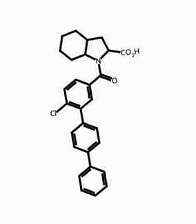 O=C(O)C1CC2CCCCC2N1C(=O)c1ccc(Cl)c(-c2ccc(-c3ccccc3)cc2)c1